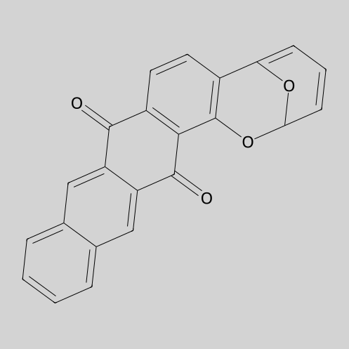 O=C1c2cc3ccccc3cc2C(=O)c2c1ccc1c2OC2C=CC=C1O2